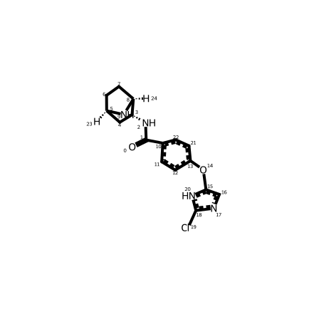 O=C(N[C@@H]1C[C@H]2CC[C@@H]1N2)c1ccc(Oc2cnc(Cl)[nH]2)cc1